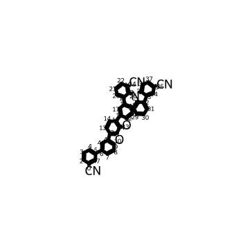 N#Cc1cccc(-c2ccc3oc4c(ccc5c6cc(-c7cccc(C#N)c7-n7c8ccccc8c8cc(C#N)ccc87)ccc6oc54)c3c2)c1